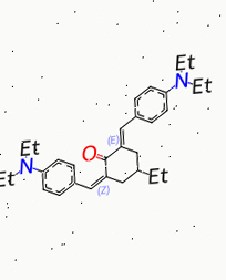 CCC1C/C(=C/c2ccc(N(CC)CC)cc2)C(=O)/C(=C/c2ccc(N(CC)CC)cc2)C1